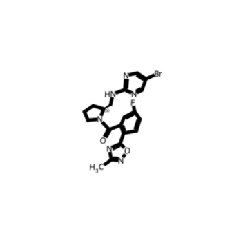 Cc1noc(-c2ccc(F)cc2C(=O)N2CCC[C@H]2CNc2ncc(Br)cn2)n1